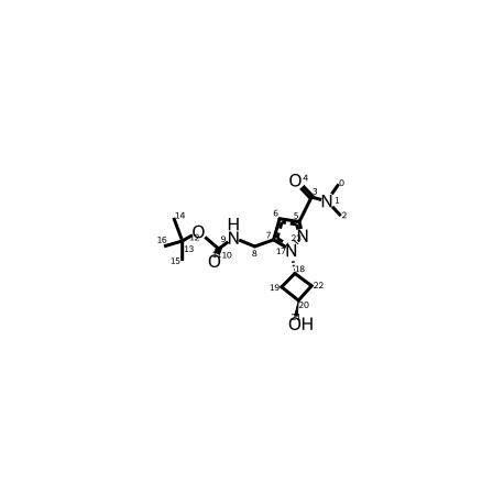 CN(C)C(=O)c1cc(CNC(=O)OC(C)(C)C)n([C@H]2C[C@H](O)C2)n1